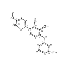 COC1=CC=C(c2ccn(Cc3cccc(F)c3)c(=O)c2Br)CN1